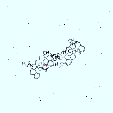 C=C(/C=C/C=C1/N(C)c2ccc3ccccc3c2C1(C)C)C(Cc1ccccc1)(Cc1ccc(CC(Cc2ccccc2)(C(=C)/C=C/C=C2/N(C)c3ccc4ccccc4c3C2(C)C)c2ccccc2C)cc1)c1ccccc1C